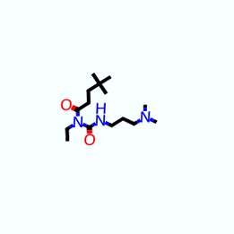 CCN(C(=O)CCC(C)(C)C)C(=O)NCCCN(C)C